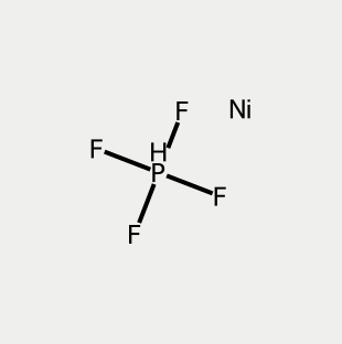 F[PH](F)(F)F.[Ni]